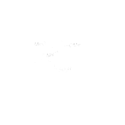 COc1ccc(C(OC)C2(NCCCS(=O)(=O)O)CCCCC2)cc1